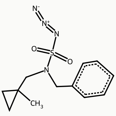 CC1(CN(Cc2ccccc2)S(=O)(=O)N=[N+]=[N-])CC1